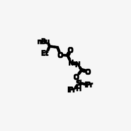 CCCCC(CC)COC(=O)N=NC(=O)O[SiH](C(C)C)C(C)C